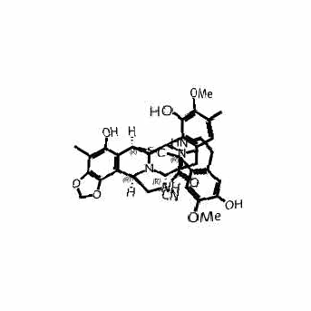 COc1cc2c(cc1O)CCN[C@]21CS[C@@H]2c3c(O)c(C)c4c(c3[C@H](CNC1=O)N1C2C2c3c(cc(C)c(OC)c3O)CC([C@@H]1C#N)N2C)OCO4